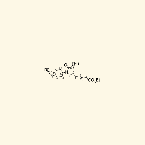 CCOC(=O)COCCCCN(C(=O)OC(C)(C)C)[C@H]1CC[C@@H](N=[N+]=[N-])CC1